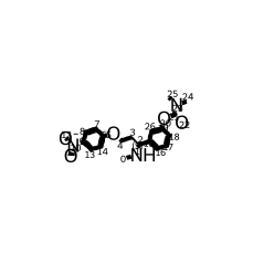 CN[C@@H](CCOc1ccc([N+](=O)[O-])cc1)c1cccc(OC(=O)N(C)C)c1